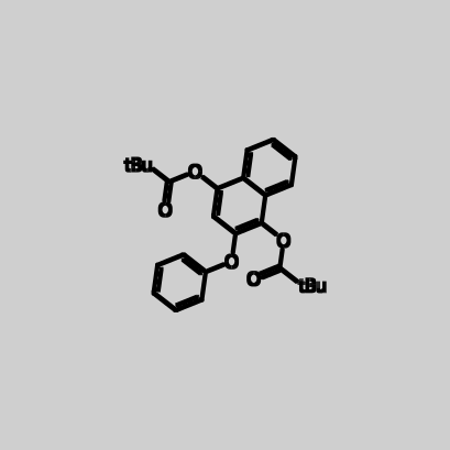 CC(C)(C)C(=O)Oc1cc(Oc2ccccc2)c(OC(=O)C(C)(C)C)c2ccccc12